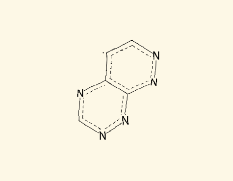 [c]1cnnc2nncnc12